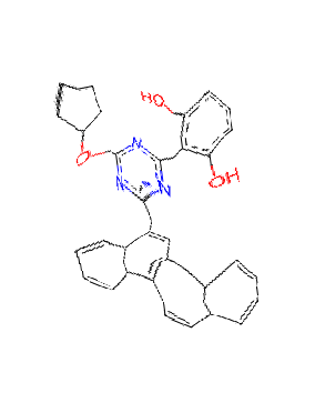 Oc1cccc(O)c1-c1nc(OC2CCCC2)nc(C2=CC3=C(C=CC4C=CC=CC34)C3C=CC=CC23)n1